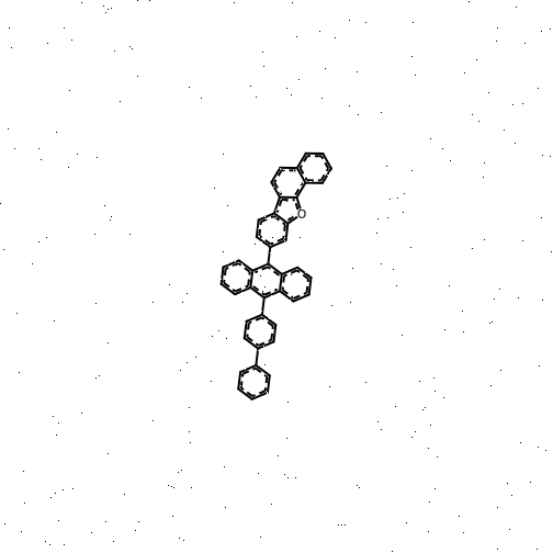 c1ccc(-c2ccc(-c3c4ccccc4c(-c4ccc5c(c4)oc4c6ccccc6ccc54)c4ccccc34)cc2)cc1